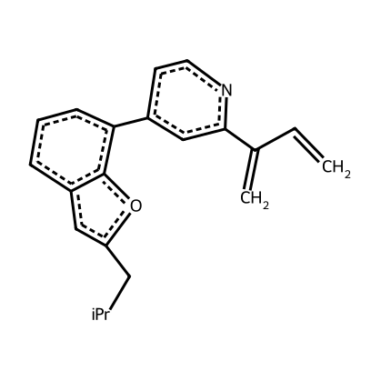 C=CC(=C)c1cc(-c2cccc3cc(CC(C)C)oc23)ccn1